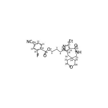 CCc1nn(CCCOC(=O)c2ccc(C#N)cc2F)c2c1C(=O)NCC1(CCOCC1)C2